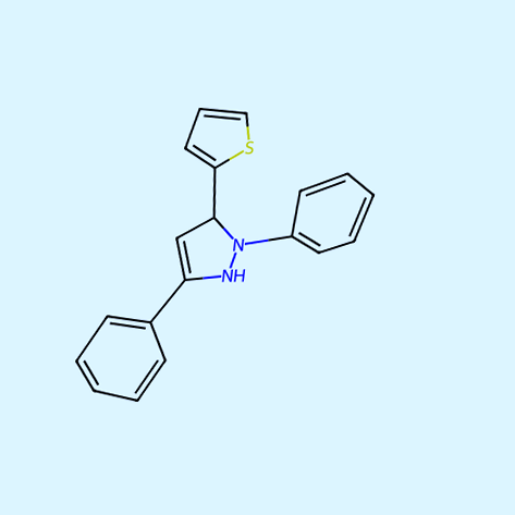 C1=C(c2ccccc2)NN(c2ccccc2)C1c1cccs1